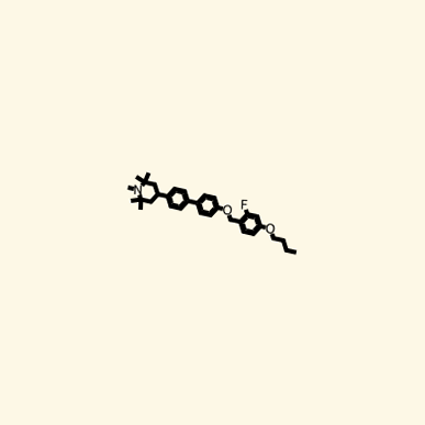 CCCCOc1ccc(COc2ccc(-c3ccc(C4CC(C)(C)N(C)C(C)(C)C4)cc3)cc2)c(F)c1